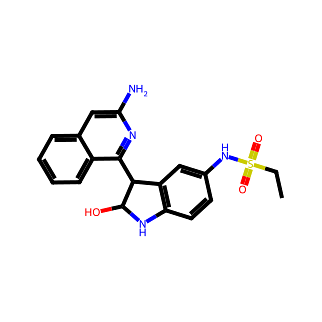 CCS(=O)(=O)Nc1ccc2c(c1)C(c1nc(N)cc3ccccc13)C(O)N2